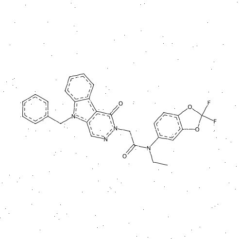 CCN(C(=O)Cn1ncc2c(c1=O)c1ccccc1n2Cc1ccccc1)c1ccc2c(c1)OC(F)(F)O2